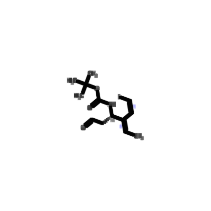 C/C=C(\C=C/I)[C@H](CC=O)NC(=O)OC(C)(C)C